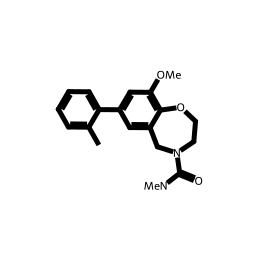 CNC(=O)N1CCOc2c(cc(-c3ccccc3C)cc2OC)C1